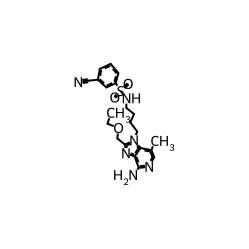 CCOCc1nc2c(N)ncc(C)c2n1CCCCNS(=O)(=O)c1cccc(C#N)c1